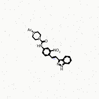 CC(=O)N1CCN(C(=O)Nc2ccc(/C=C/c3n[nH]c4ccccc34)c([N+](=O)[O-])c2)CC1